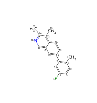 Cc1ccc(F)cc1-c1ccc2c(C)c(C)ncc2c1